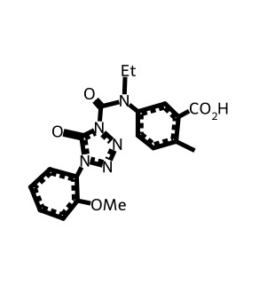 CCN(C(=O)n1nnn(-c2ccccc2OC)c1=O)c1ccc(C)c(C(=O)O)c1